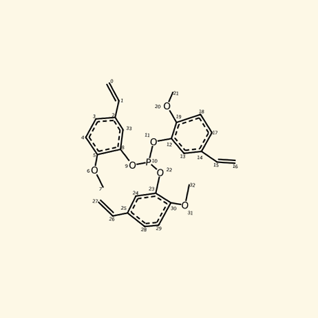 C=Cc1ccc(OC)c(OP(Oc2cc(C=C)ccc2OC)Oc2cc(C=C)ccc2OC)c1